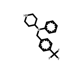 FC(F)(F)c1ccc(CN(c2ccccc2)C2CCNCC2)cc1